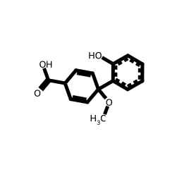 COC1(c2ccccc2O)C=CC(C(=O)O)C=C1